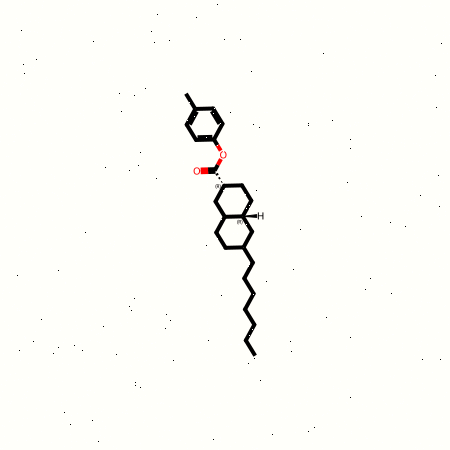 CCCCCCCC1CCC2C[C@H](C(=O)Oc3ccc(C)cc3)CC[C@@H]2C1